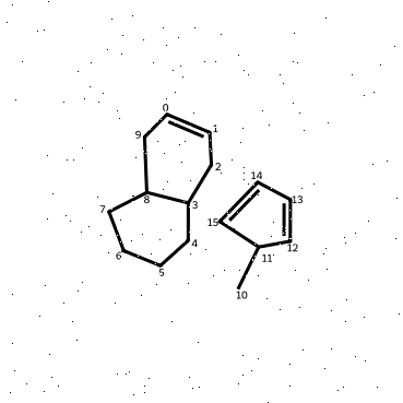 C1=CCC2CCCCC2C1.CC1C=CC=C1